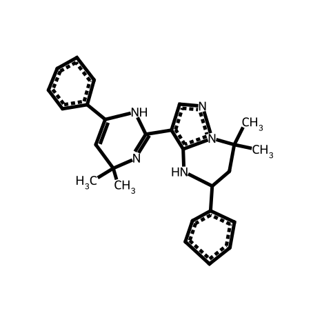 CC1(C)C=C(c2ccccc2)NC(c2cnn3c2NC(c2ccccc2)CC3(C)C)=N1